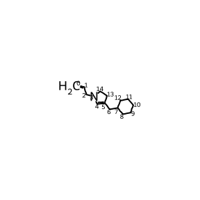 C=CCN1C=C(CC2CCCCC2)CC1